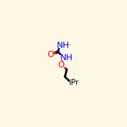 CC(C)CCONC([NH])=O